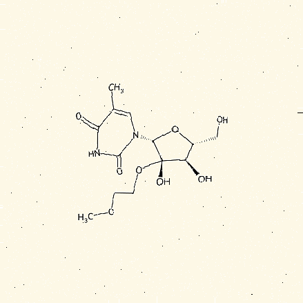 COCCO[C@@]1(O)[C@H](O)[C@@H](CO)O[C@H]1n1cc(C)c(=O)[nH]c1=O